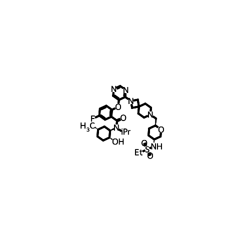 CCS(=O)(=O)N[C@@H]1CC[C@@H](CN2CCC3(CC2)CN(c2ncncc2Oc2ccc(F)cc2C(=O)N(C(C)C)[C@@H]2C[C@@H](C)CC[C@H]2O)C3)OC1